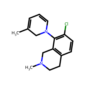 CC1=CC=CN(c2c(Cl)ccc3c2CN(C)CC3)C1